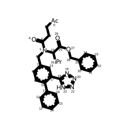 CC(=O)CCC(=O)N(Cc1ccc(-c2ccccc2)c(-c2nnn[nH]2)c1)C(C(=O)OCc1ccccc1)C(C)C